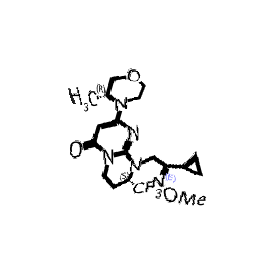 CO/N=C(/CN1c2nc(N3CCOC[C@H]3C)cc(=O)n2CC[C@H]1C(F)(F)F)C1CC1